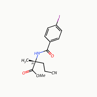 COC(=O)[C@@](C)(CCC#N)NC(=O)c1ccc(I)cc1